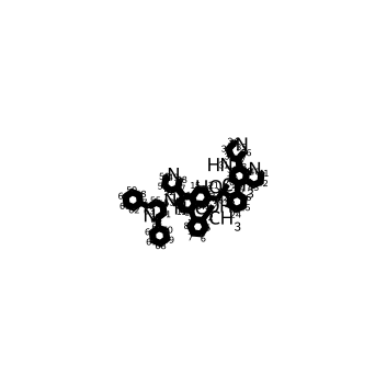 CC(C)(O)c1ccccc1-c1cc2c(c3ccc(CC(C)(O)c4ccccc4-c4cc5[nH]c6ccncc6c5c5ncccc45)cc13)c1cnccc1n2-c1cc(-c2ccccc2)nc(-c2ccccc2)c1